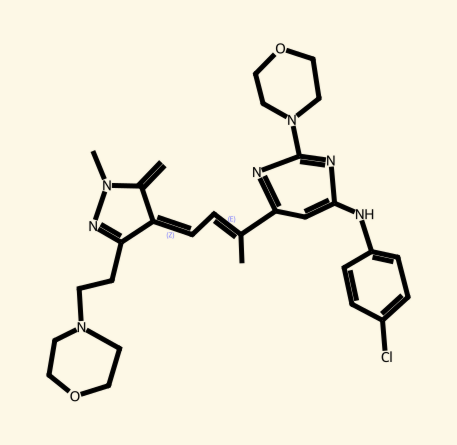 C=c1/c(=C\C=C(/C)c2cc(Nc3ccc(Cl)cc3)nc(N3CCOCC3)n2)c(CCN2CCOCC2)nn1C